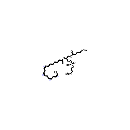 CC/C=C\C/C=C\C/C=C\C/C=C\CCCCCCC(=O)OC(COC(=O)CCCCCCCCCCCCC)COP(=O)(O)OCCNC